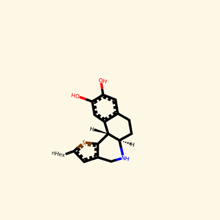 CCCCCCc1cc2c(s1)[C@@H]1c3cc(O)c(O)cc3CC[C@H]1NC2